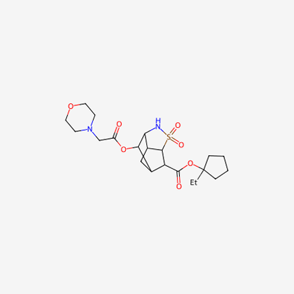 CCC1(OC(=O)C2C3CC4C(NS(=O)(=O)C42)C3OC(=O)CN2CCOCC2)CCCC1